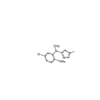 COc1ccc(Cl)cc1N(C=O)c1cn(C)cn1